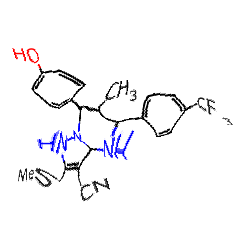 CSC1=C(C#N)C2NC(c3ccc(C(F)(F)F)cc3)C(C)C(c3ccc(O)cc3)N2N1